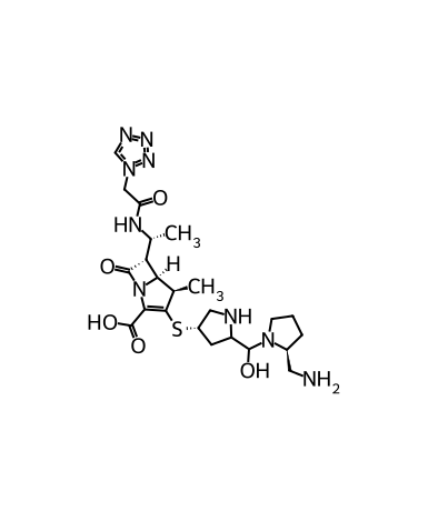 C[C@@H](NC(=O)Cn1cnnn1)[C@H]1C(=O)N2C(C(=O)O)=C(S[C@@H]3CNC(C(O)N4CCC[C@H]4CN)C3)[C@H](C)[C@H]12